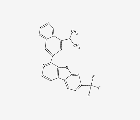 CC(C)c1cc(-c2nccc3c2sc2cc(C(F)(F)F)ccc23)cc2ccccc12